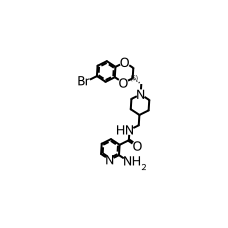 Nc1ncccc1C(=O)NCC1CCN(C[C@H]2COc3ccc(Br)cc3O2)CC1